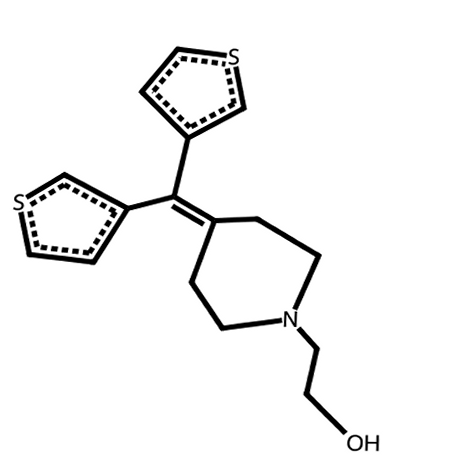 OCCN1CCC(=C(c2ccsc2)c2ccsc2)CC1